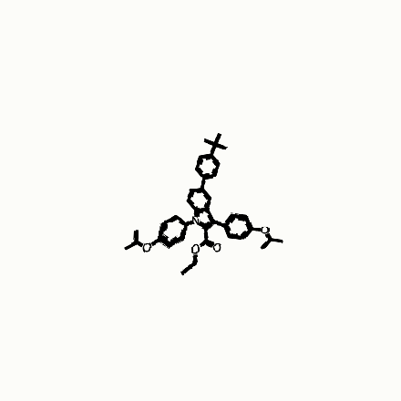 CCOC(=O)c1c(-c2ccc(OC(C)C)cc2)c2cc(-c3ccc(C(C)(C)C)cc3)ccc2n1-c1ccc(OC(C)C)cc1